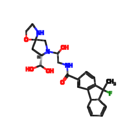 CC1(F)c2ccc(C(=O)NCC(O)N3CC4(C[C@H]3C(O)O)NCCO4)cc2C2C=CC=CC21